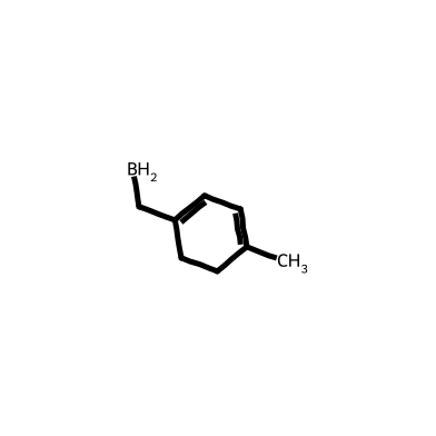 BCC1=CC=C(C)CC1